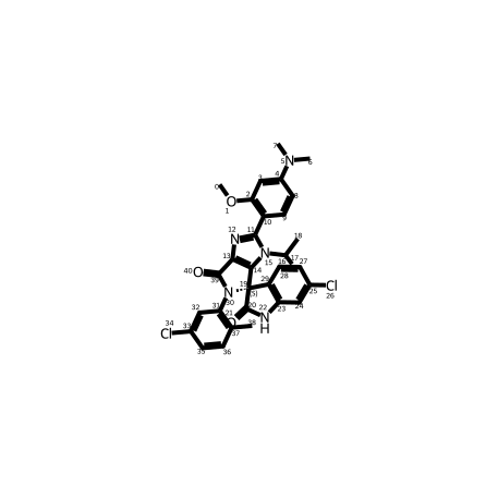 COc1cc(N(C)C)ccc1-c1nc2c(n1C(C)C)[C@@]1(C(=O)Nc3cc(Cl)ccc31)N(c1cc(Cl)ccc1C)C2=O